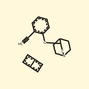 C#Cc1ccccc1OC1CN2CCC1CC2.c1cc2ccc1-2